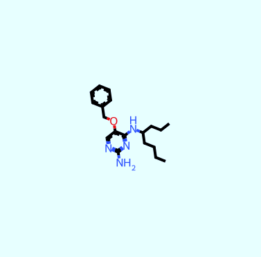 CCCCC(CCC)Nc1nc(N)ncc1OCc1ccccc1